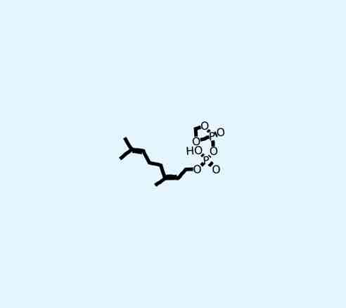 CC(C)=CCCC(C)=CCOP(=O)(O)OP1(=O)OCO1